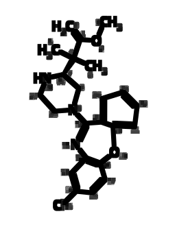 C=C(OC)C(C)(C)[C@H]1CN(C2=Nc3cc(Cl)ccc3Oc3ccccc32)CCN1